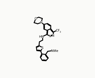 CNCc1ccccc1-c1ccc(CCNc2nnc(C(F)(F)F)c3ccc(N4CCOCC4)cc23)s1